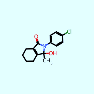 CC1(O)C2=C(CCCC2)C(=O)N1c1ccc(Cl)cc1